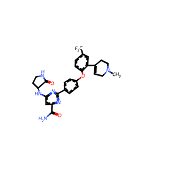 CN1CC=C(c2cc(C(F)(F)F)ccc2Oc2ccc(-c3nc(N[C@H]4CCNC4=O)cc(C(N)=O)n3)cc2)CC1